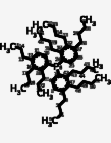 CCCCc1ccc(P(c2ccc(CCC)c(CCC)c2CCC)c2ccc(CCCC)c(CCCC)c2CCCC)c(CCCC)c1CCCC